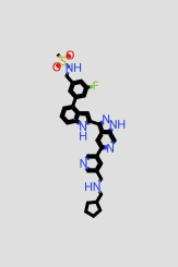 CS(=O)(=O)NCc1cc(F)cc(-c2cccc3[nH]c(-c4n[nH]c5cnc(-c6cncc(CNCC7CCCC7)c6)cc45)cc23)c1